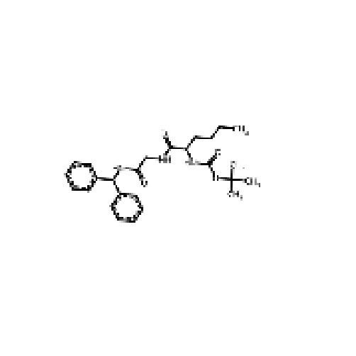 CCCCC(NC(=O)OC(C)(C)C)C(=O)NCC(=O)NC(c1ccccc1)c1ccccc1